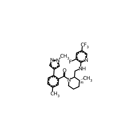 Cc1ccc(-c2cnn(C)c2)c(C(=O)N2CCC[C@@H](C)C2CNc2ncc(C(F)(F)F)cc2F)c1